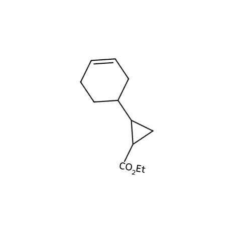 CCOC(=O)C1CC1C1CC=CCC1